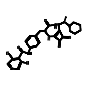 C[C@@H](Nc1c(NC(Cc2ccc(NC(=O)c3c(Cl)cncc3Cl)cc2)C(=O)O)c(=O)c1=O)N1CCCCC1